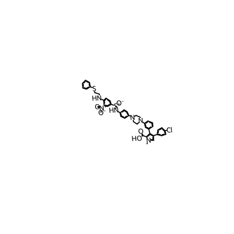 Cn1cc(-c2ccc(Cl)cc2)c(-c2cccc(N3CCN(c4ccc(N[S+]([O-])c5ccc(NCCSc6ccccc6)c([N+](=O)[O-])c5)cc4)CC3)c2)c1C(=O)O